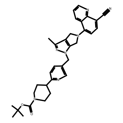 Cc1nn(Cc2ccc(C3CCN(C(=O)OC(C)(C)C)CC3)nc2)c2c1CN(c1ccc(C#N)c3ncccc13)C2